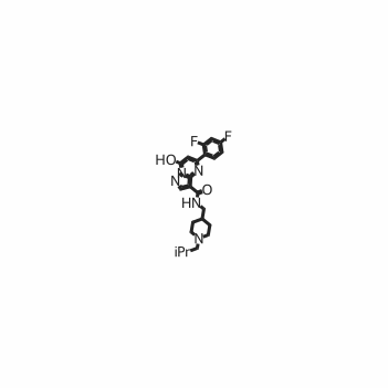 CC(C)CN1CCC(CNC(=O)c2cnn3c(O)cc(-c4ccc(F)cc4F)nc23)CC1